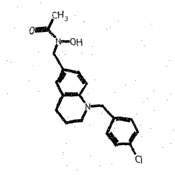 CC(=O)N(O)Cc1ccc2c(c1)CCCN2Cc1ccc(Cl)cc1